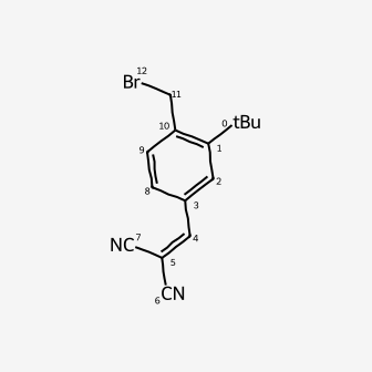 CC(C)(C)c1cc(C=C(C#N)C#N)ccc1CBr